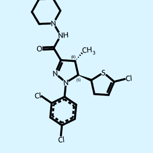 C[C@H]1C(C(=O)NN2CCCCC2)=NN(c2ccc(Cl)cc2Cl)[C@@H]1C1CC=C(Cl)S1